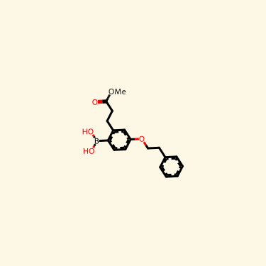 COC(=O)CCc1cc(OCCc2ccccc2)ccc1B(O)O